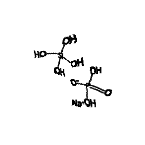 O=P([O-])(O)O.O[Si](O)(O)O.[Na+]